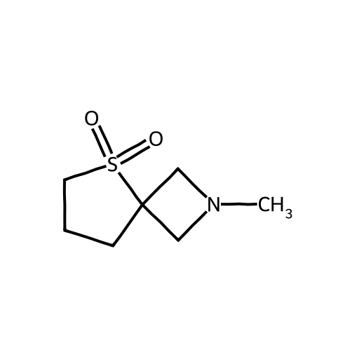 CN1CC2(CCCS2(=O)=O)C1